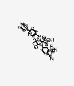 CC1(C)C(=O)N(c2ccc(C#N)c(C(F)(F)F)c2)C(S(=O)(=O)O)N1Cc1ccc(-n2ccnn2)nc1